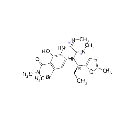 CC[C@@H](NC(=N/C)/C(=N\C)Nc1ccc(Br)c(C(=O)N(C)C)c1O)c1ccc(C)o1